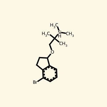 C[SiH](C)C(C)(C)COC1CCc2c(Br)cccc21